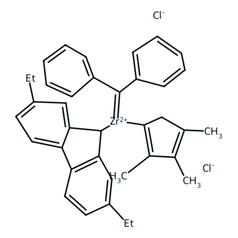 CCc1ccc2c(c1)[CH]([Zr+2]([C]1=C(C)C(C)=C(C)C1)=[C](c1ccccc1)c1ccccc1)c1cc(CC)ccc1-2.[Cl-].[Cl-]